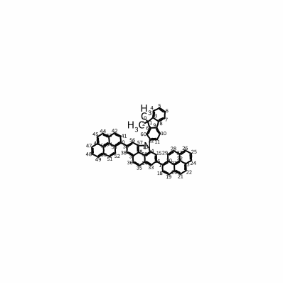 CC1(C)c2ccccc2-c2ccc(-n3c4cc(-c5ccc6ccc7cccc8ccc5c6c78)cc5ccc6cc(-c7ccc8ccc9cccc%10ccc7c8c9%10)cc3c6c54)cc21